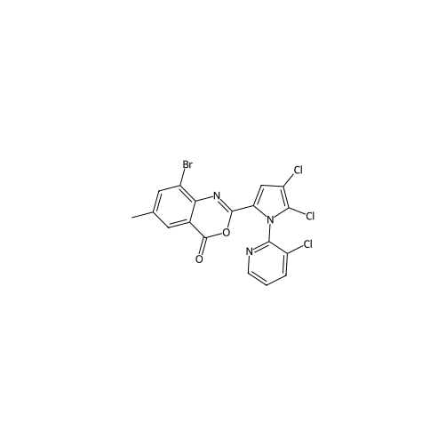 Cc1cc(Br)c2nc(-c3cc(Cl)c(Cl)n3-c3ncccc3Cl)oc(=O)c2c1